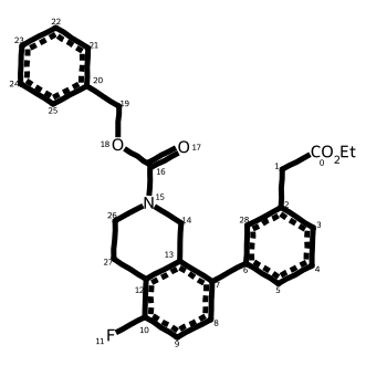 CCOC(=O)Cc1cccc(-c2ccc(F)c3c2CN(C(=O)OCc2ccccc2)CC3)c1